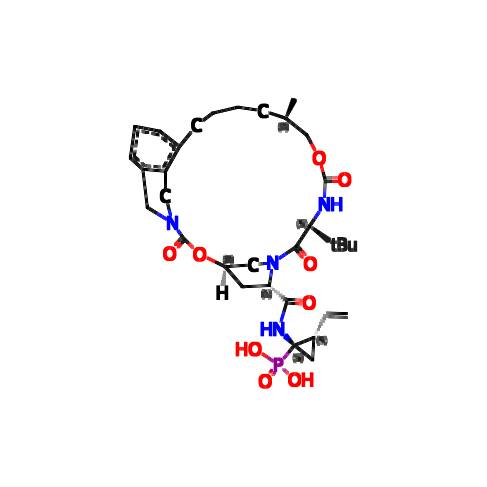 C=C[C@@H]1C[C@]1(NC(=O)[C@@H]1C[C@@H]2CN1C(=O)[C@H](C(C)(C)C)NC(=O)OC[C@H](C)CCCCc1cccc3c1CN(C3)C(=O)O2)P(=O)(O)O